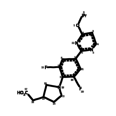 CC(C)Oc1ccnc(-c2cc(F)c(N3CCC(CC(=O)O)C3)c(F)c2)n1